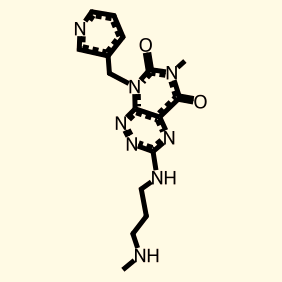 CNCCCNc1nnc2c(n1)c(=O)n(C)c(=O)n2Cc1cccnc1